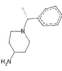 C[C@H](c1ccccc1)N1CCC(N)CC1